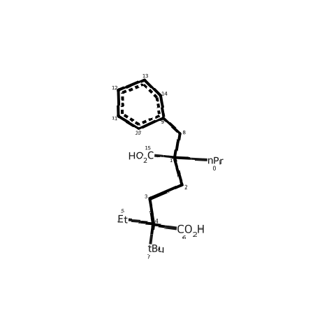 CCCC(CCC(CC)(C(=O)O)C(C)(C)C)(Cc1ccccc1)C(=O)O